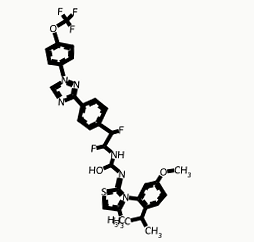 COc1ccc(C(C)C)c(-n2c(C)cs/c2=N\C(O)NC(F)C(F)c2ccc(-c3ncn(-c4ccc(OC(F)(F)F)cc4)n3)cc2)c1